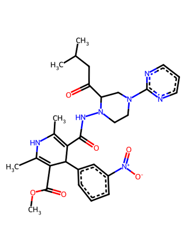 COC(=O)C1=C(C)NC(C)=C(C(=O)NN2CCN(c3ncccn3)CC2C(=O)CC(C)C)C1c1cccc([N+](=O)[O-])c1